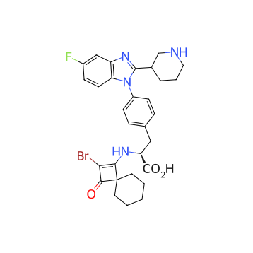 O=C(O)[C@H](Cc1ccc(-n2c(C3CCCNC3)nc3cc(F)ccc32)cc1)NC1=C(Br)C(=O)C12CCCCC2